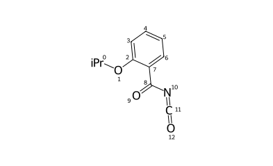 CC(C)Oc1ccccc1C(=O)N=C=O